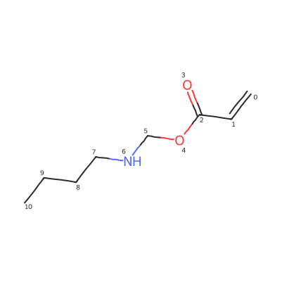 C=CC(=O)OCNCCCC